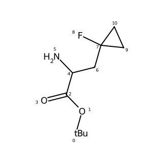 CC(C)(C)OC(=O)C(N)CC1(F)CC1